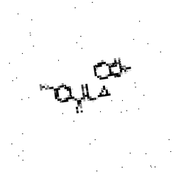 Cn1cc2c(n1)C=CCC2[C@@H]1C[C@H]1CNC(=O)c1ccc(Br)cc1